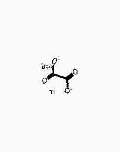 O=C([O-])C(=O)[O-].[Ba+2].[Ti]